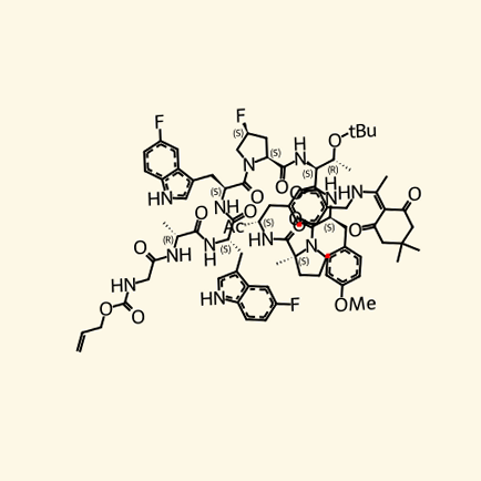 C=CCOC(=O)NCC(=O)N[C@H](C)C(=O)N[C@@H](Cc1c[nH]c2ccc(F)cc12)C(=O)N[C@@H](Cc1c[nH]c2ccc(F)cc12)C(=O)N1C[C@@H](F)C[C@H]1C(=O)N[C@H](C(=O)N[C@@H](Cc1ccc(OC)cc1)C(=O)N1CCC[C@@]1(C)C(=O)N[C@@H](Cc1ccc(CNC(C)=C2C(=O)CC(C)(C)CC2=O)cc1)C(C)=O)[C@@H](C)OC(C)(C)C